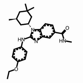 CCOc1ccc(Nc2nc3cc(C(=O)NC)ccc3n2[C@@H]2C[C@@H](C)CC(C)(C)C2)cc1